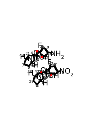 CC(C)(O)CN1[C@@H]2CC[C@H]1C[C@H](Oc1ccc(N)cc1F)C2.CC(C)(O)CN1[C@@H]2CC[C@H]1C[C@H](Oc1ccc([N+](=O)[O-])cc1F)C2